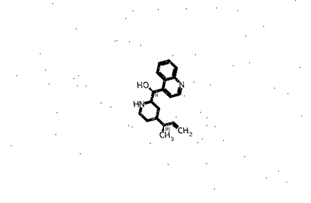 C=C[C@@H](C)C1CCNC([C@@H](O)c2ccnc3ccccc23)C1